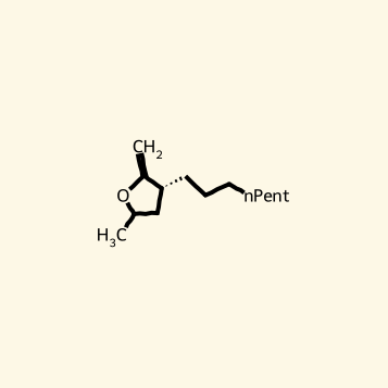 C=C1OC(C)C[C@H]1CCCCCCCC